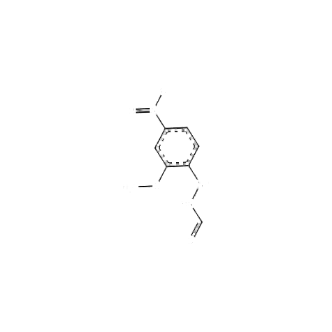 COc1cc([N+](=O)[O-])ccc1NNC=O